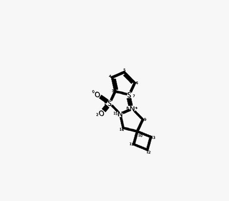 O=S1(=O)C2=CC=CS2=[N+]2CC3(CCC3)CN21